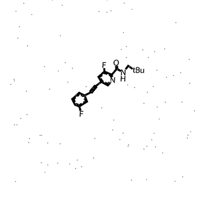 CC(C)(C)CNC(=O)c1ncc(C#Cc2cccc(F)c2)cc1F